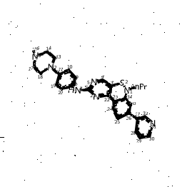 CCCN1Sc2cnc(Nc3ccc(N4CCN(C)CC4)cc3)nc2-c2ccc(-c3cccnc3)cc21